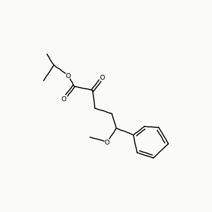 COC(CCC(=O)C(=O)OC(C)C)c1ccccc1